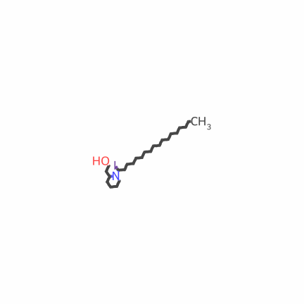 CCCCCCCCCCCCCCCCCC(I)N1CCCCC1CCO